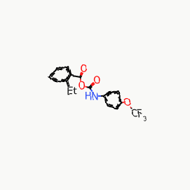 CCc1ccccc1C(=O)OC(=O)Nc1ccc(OC(F)(F)F)cc1